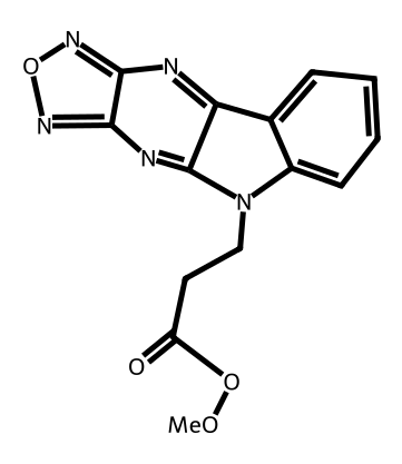 COOC(=O)CCn1c2ccccc2c2nc3nonc3nc21